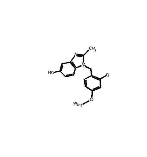 CCCCCOc1ccc(Cn2c(C)nc3cc(O)ccc32)c(Cl)c1